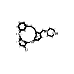 Clc1cnc2nc1Nc1ccc(CN3CCNCC3)c(c1)CCc1cccc(c1)N2